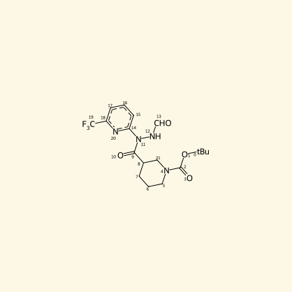 CC(C)(C)OC(=O)N1CCCC(C(=O)N(NC=O)c2cccc(C(F)(F)F)n2)C1